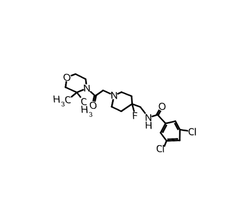 CC1(C)COCCN1C(=O)CN1CCC(F)(CNC(=O)c2cc(Cl)cc(Cl)c2)CC1